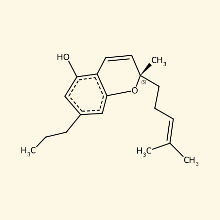 CCCc1cc(O)c2c(c1)O[C@@](C)(CCC=C(C)C)C=C2